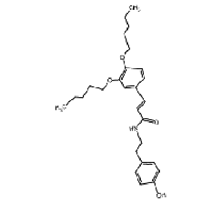 CCCCCOc1ccc(C=CC(=O)NCCc2ccc(O)cc2)cc1OCCCCC